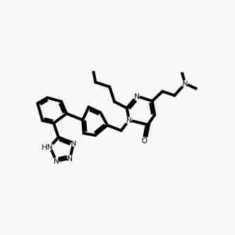 CCCCc1nc(CCN(C)C)cc(=O)n1Cc1ccc(-c2ccccc2-c2nnn[nH]2)cc1